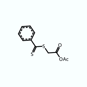 CC(=O)OC(=O)CSC(=S)c1ccccc1